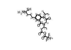 CC(CC(=O)OC(=O)C(F)(F)F)N1CC(=O)N(C(C)C)c2ccc(CCCC(N)S)cc2C1=O